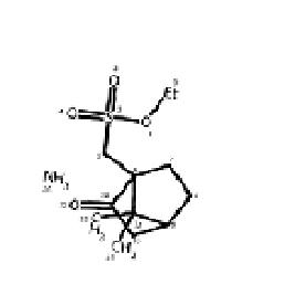 CCOS(=O)(=O)CC12CCC(CC1=O)C2(C)C.N